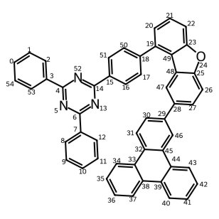 c1ccc(-c2nc(-c3ccccc3)nc(-c3ccc(-c4cccc5oc6ccc(-c7ccc8c9ccccc9c9ccccc9c8c7)cc6c45)cc3)n2)cc1